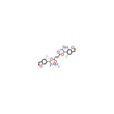 CC(N)C(OC(=O)/C=C/C(=O)OC(c1cc2occc2cc1F)C(C)N)c1cc2occc2cc1F